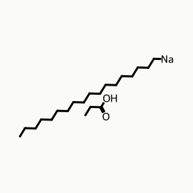 CCC(=O)O.CCCCCCCCCCCCCCCCC[CH2][Na]